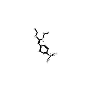 CCSC(=Cc1ccc([N+](=O)[O-])cc1)SCC